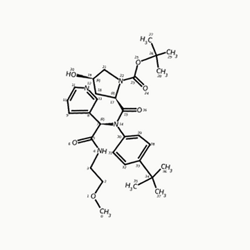 COCCNC(=O)[C@@H](c1cccnc1)N(C(=O)[C@H]1C[C@@H](O)CN1C(=O)OC(C)(C)C)c1ccc(C(C)(C)C)cc1